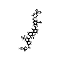 Cc1c(Nc2nc(C(F)(F)F)nc3cc(CN4C=C[C@@H](O)C4)cnc23)cccc1-c1cccc(-c2nc3cc(CN4CCC(C(=O)O)CC4)cc(C#N)c3o2)c1C